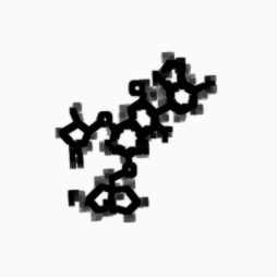 CC1CNCC1Oc1nc(OC[C@@]23CCCN2C[C@H](F)C3)nc2c(F)c(-c3ccc(F)c4scnc34)c(C(F)(F)F)cc12